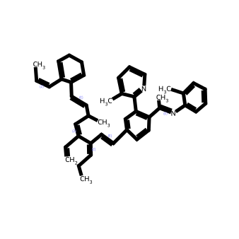 C=CC(=C/C(C)/C=C/C1=CCCC=C1/C=C\C)/C(=C\CC)/C=C/c1ccc(/C(C)=N/c2ccccc2C)c(-c2ncccc2C)c1